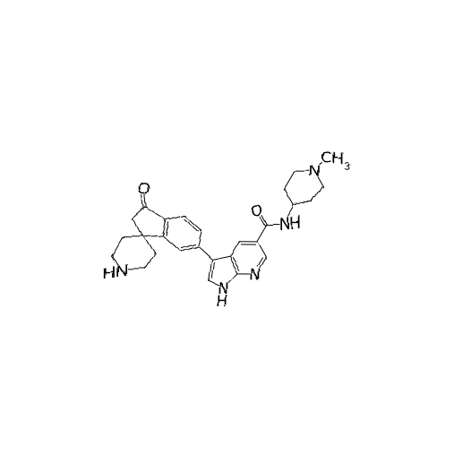 CN1CCC(NC(=O)c2cnc3[nH]cc(-c4ccc5c(c4)C4(CCNCC4)CC5=O)c3c2)CC1